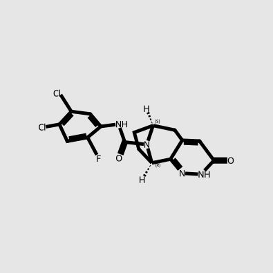 O=C(Nc1cc(Cl)c(Cl)cc1F)N1[C@H]2CC[C@@H]1c1n[nH]c(=O)cc1C2